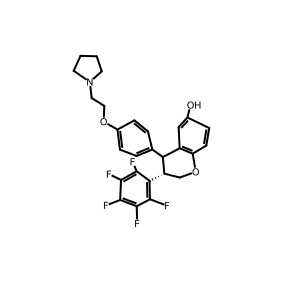 Oc1ccc2c(c1)C(c1ccc(OCCN3CCCC3)cc1)[C@@H](c1c(F)c(F)c(F)c(F)c1F)CO2